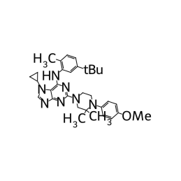 COc1ccc(N2CCN(c3nc(Nc4cc(C(C)(C)C)ccc4C)c4c(ncn4C4CC4)n3)CC2(C)C)cc1